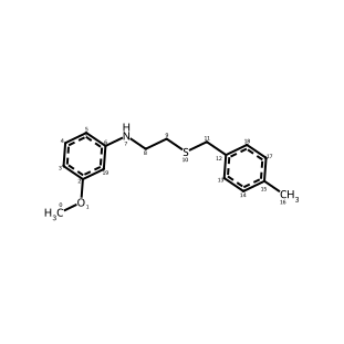 COc1cc[c]c(NCCSCc2ccc(C)cc2)c1